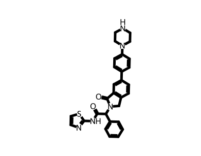 O=C(Nc1nccs1)C(c1ccccc1)N1Cc2ccc(-c3ccc(N4CCNCC4)cc3)cc2C1=O